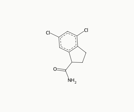 NC(=O)C1CCc2c(Cl)cc(Cl)cc21